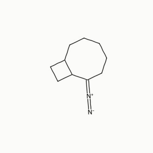 [N-]=[N+]=C1CCCCCC2CCC12